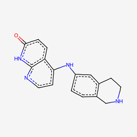 O=c1ccc2c(Nc3ccc4c(c3)CCNC4)ccnc2[nH]1